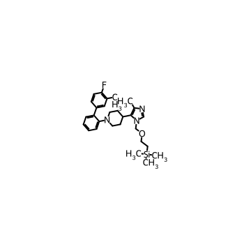 Cc1cc(-c2ccccc2N2CCC(c3c(C)ncn3COCC[Si](C)(C)C)CC2)ccc1F